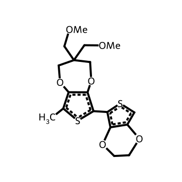 COCC1(COC)COc2c(C)sc(-c3scc4c3OCCO4)c2OC1